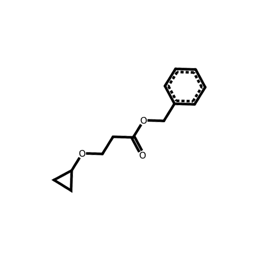 O=C(CCOC1CC1)OCc1ccccc1